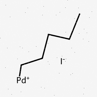 CCCC[CH2][Pd+].[I-]